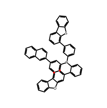 c1cc(-c2ccc3ccccc3c2)cc(N(c2cccc(-c3cccc4c3sc3ccccc34)c2)c2ccccc2-c2ccc3c(c2)oc2ccccc23)c1